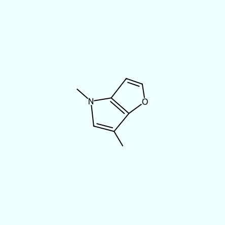 Cc1cn(C)c2ccoc12